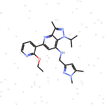 CCOc1ncccc1-c1cc(NCc2cc(C)n(C)n2)c2c(n1)c(C)nn2C(C)C